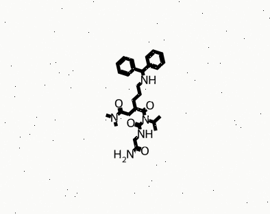 CC(C)N(C(=O)NCC(N)=O)C(=O)[C](CCCNC(c1ccccc1)c1ccccc1)CC(=O)N(C)C